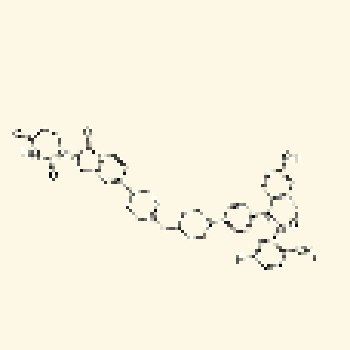 Cc1ccc(F)cc1[C@@H]1OCc2cc(O)ccc2[C@@H]1c1ccc(N2CCC(CN3CCN(c4ccc5c(c4)CN([C@H]4CCC(=O)NC4=O)C5=O)CC3)CC2)cc1